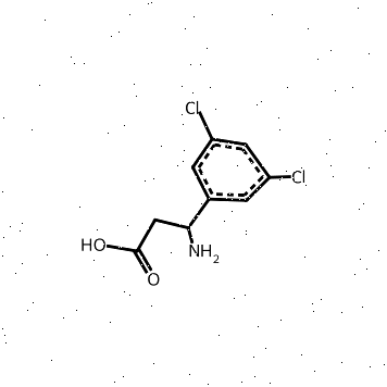 NC(CC(=O)O)c1cc(Cl)cc(Cl)c1